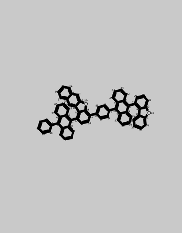 c1ccc(-c2c3ccccc3c(-c3ccc(-c4ccc(-c5c6ccccc6c(-c6cccc7oc8ccccc8c67)c6ccccc56)cc4)c4oc5cc6ccccc6cc5c34)c3ccccc23)cc1